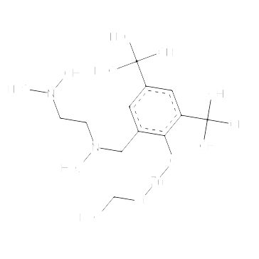 CC[O][Zn][O]c1c(CN(C)CCN(C)C)cc(C(C)(C)C)cc1C(C)(C)C